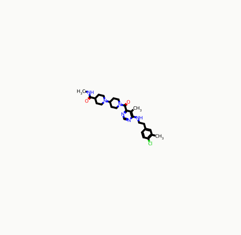 CNC(=O)C1CCN(C2CCN(C(=O)c3ncnc(NCCc4ccc(Cl)c(C)c4)c3C)CC2)CC1